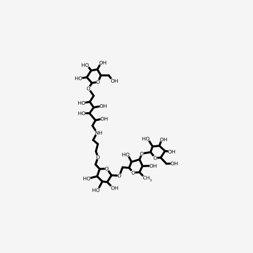 CC1OC(COC2OC(COCCCNCC(O)C(O)C(O)C(O)COC3OC(CO)C(O)C(O)C3O)C(O)C(O)C2O)C(O)C(OC2OC(CO)C(O)C(O)C2O)C1O